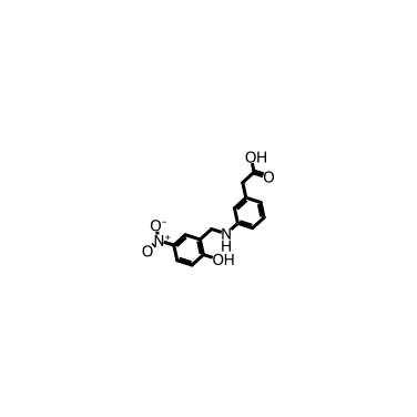 O=C(O)Cc1cccc(NCc2cc([N+](=O)[O-])ccc2O)c1